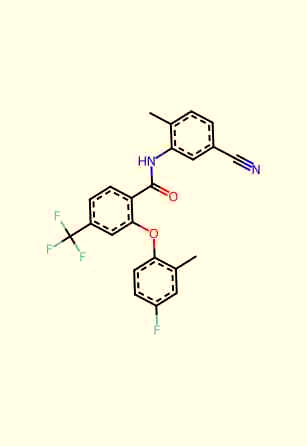 Cc1ccc(C#N)cc1NC(=O)c1ccc(C(F)(F)F)cc1Oc1ccc(F)cc1C